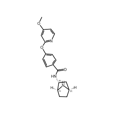 COc1ccnc(Oc2ccc(C(=O)N[C@@H]3C[C@H]4CC[C@@H]3N4)cc2)c1